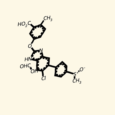 Cc1ccc(Oc2nc3cc(-c4ccc([S+](C)[O-])cc4)c(Cl)cc3[nH]2)cc1C(=O)O.O=CO